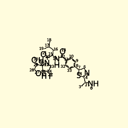 CN[C@@H](C)C1=NCC(c2ccc(C(=O)NC(CC(C)C)C(=O)N3C[C@H](F)[C@H]4OCC(=O)[C@H]43)cc2)S1